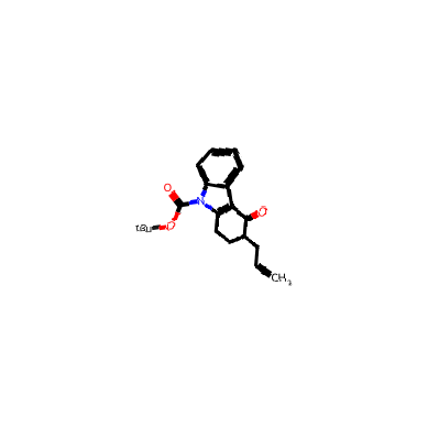 C=CCC1CCc2c(c3ccccc3n2C(=O)OC(C)(C)C)C1=O